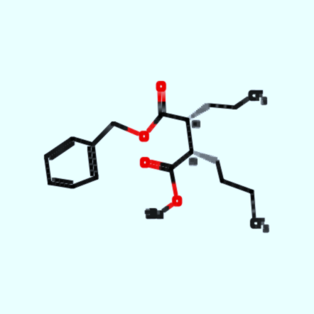 CC(C)(C)OC(=O)[C@@H](CCCC(F)(F)F)[C@@H](CCC(F)(F)F)C(=O)OCc1ccccc1